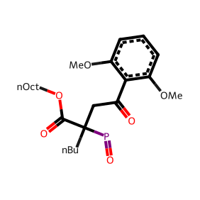 CCCCCCCCOC(=O)C(CCCC)(CC(=O)c1c(OC)cccc1OC)P=O